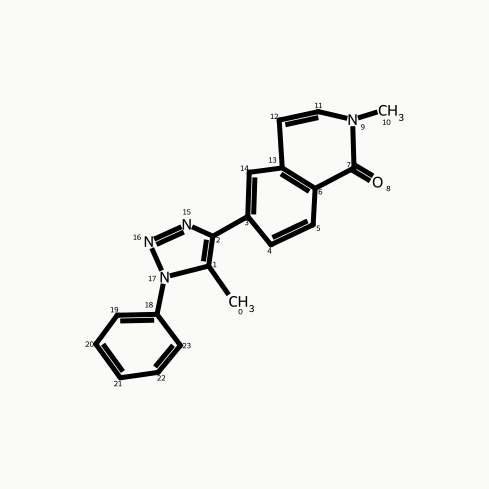 Cc1c(-c2ccc3c(=O)n(C)ccc3c2)nnn1-c1ccccc1